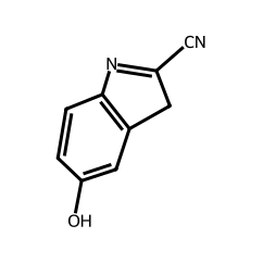 N#CC1=Nc2ccc(O)cc2C1